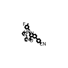 Cc1cc(CNc2cc(C(=O)N3CCC[C@H]3CN3CCCC3)c3cc(-c4ccc(C#N)cc4)ccc3n2)ccc1F